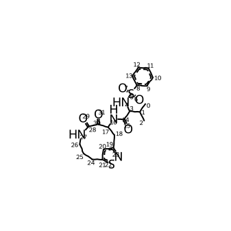 CC(C)C(NS(=O)(=O)c1ccccc1)C(=O)NC1Cc2cc(sn2)CCCNC(=O)C1=O